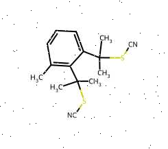 Cc1cccc(C(C)(C)SC#N)c1C(C)(C)SC#N